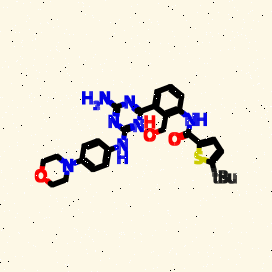 CC(C)(C)c1ccc(C(=O)Nc2cccc(-c3nc(N)nc(Nc4ccc(N5CCOCC5)cc4)n3)c2CO)s1